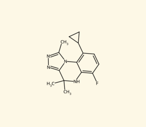 Cc1nnc2n1-c1c(C3CC3)ccc(F)c1NC2(C)C